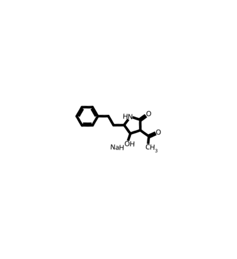 CC(=O)C1C(=O)NC(CCc2ccccc2)C1O.[NaH]